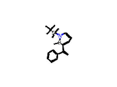 C=C(C1=CC=CN([Si](C)(C)C(C)(C)C)B1C)c1ccccc1